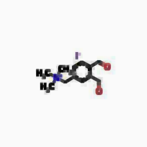 C[N+](C)(C)Cc1ccc(C=O)c(C=O)c1.[I-]